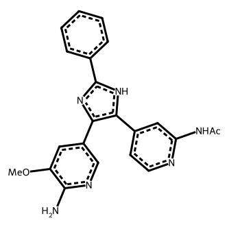 COc1cc(-c2nc(-c3ccccc3)[nH]c2-c2ccnc(NC(C)=O)c2)cnc1N